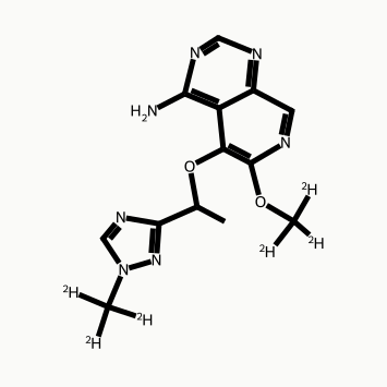 [2H]C([2H])([2H])Oc1ncc2ncnc(N)c2c1OC(C)c1ncn(C([2H])([2H])[2H])n1